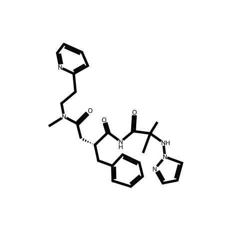 CN(CCc1ccccn1)C(=O)C[C@@H](Cc1ccccc1)C(=O)NC(=O)C(C)(C)Nn1cccn1